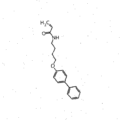 C=CC(=O)NCCCCOc1ccc(-c2ccccc2)cc1